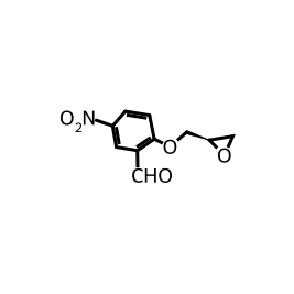 O=Cc1cc([N+](=O)[O-])ccc1OC[C@H]1CO1